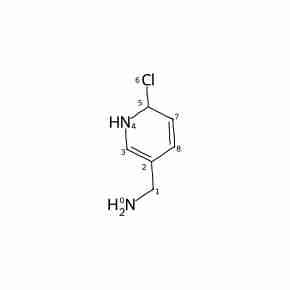 NCC1=CNC(Cl)C=C1